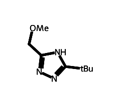 COCc1nnc(C(C)(C)C)[nH]1